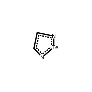 c1cn[te]n1